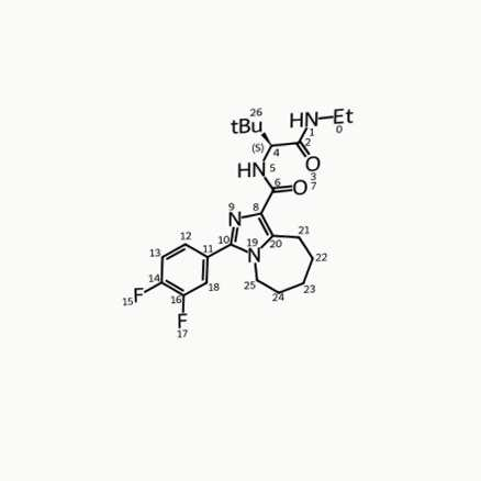 CCNC(=O)[C@@H](NC(=O)c1nc(-c2ccc(F)c(F)c2)n2c1CCCCC2)C(C)(C)C